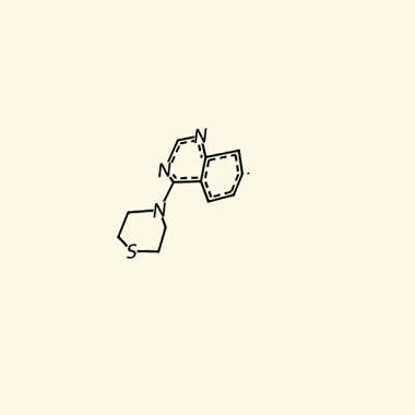 [c]1ccc2c(N3CCSCC3)ncnc2c1